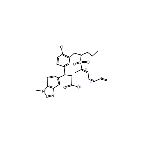 C=N/C=C\C=C(/C)S(=O)(=O)N(CCC)Cc1cc(C(CC(=O)O)c2ccc3c(c2)nnn3C)ccc1Cl